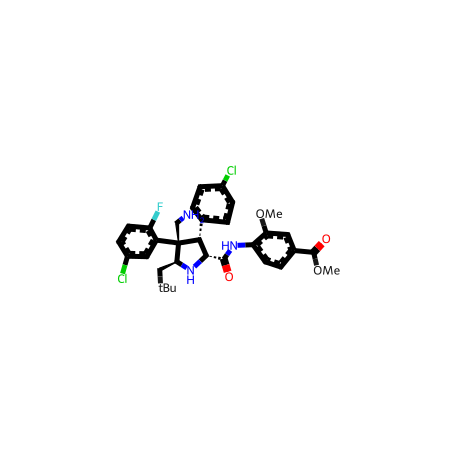 COC(=O)c1ccc(NC(=O)[C@@H]2N[C@@H](CC(C)(C)C)[C@](CN)(c3cc(Cl)ccc3F)[C@@H]2c2ccc(Cl)cc2)c(OC)c1